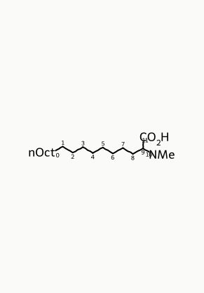 CCCCCCCCCCCCCCCCC(NC)C(=O)O